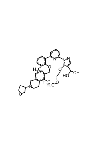 COCCOc1c(C(O)O)cnn1-c1cccc(-c2cccc(C)c2OCc2ccc3c(c2C)CCN(C2CCOC2)C3)n1